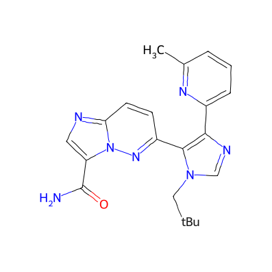 Cc1cccc(-c2ncn(CC(C)(C)C)c2-c2ccc3ncc(C(N)=O)n3n2)n1